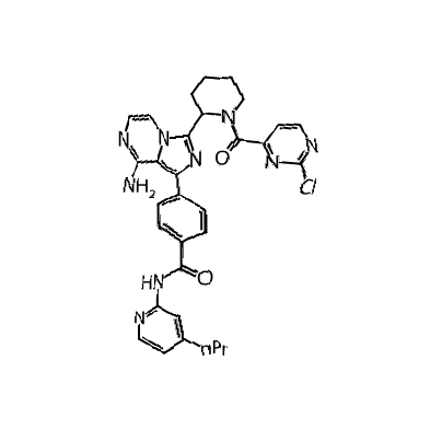 CCCc1ccnc(NC(=O)c2ccc(-c3nc(C4CCCCN4C(=O)c4ccnc(Cl)n4)n4ccnc(N)c34)cc2)c1